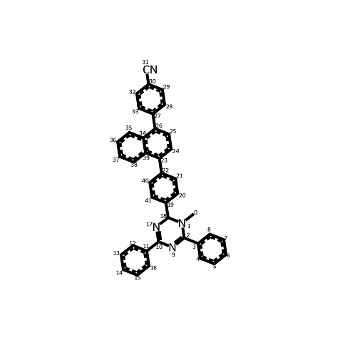 CN1C(c2ccccc2)=NC(c2ccccc2)=NC1c1ccc(-c2ccc(-c3ccc(C#N)cc3)c3ccccc23)cc1